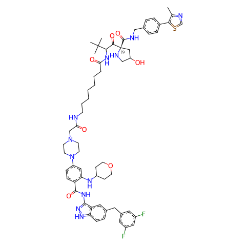 Cc1ncsc1-c1ccc(CNC(=O)[C@@]2(C(=O)C(NC(=O)CCCCCCCNC(=O)CN3CCN(c4ccc(C(=O)Nc5n[nH]c6ccc(Cc7cc(F)cc(F)c7)cc56)c(NC5CCOCC5)c4)CC3)C(C)(C)C)CC(O)CN2)cc1